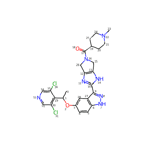 CC(Oc1ccc2[nH]nc(-c3nc4c([nH]3)CN(C(=O)C3CCN(C)CC3)C4)c2c1)c1c(Cl)cncc1Cl